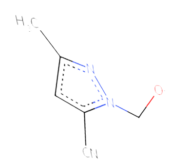 Cc1cc(C#N)n(C[O])n1